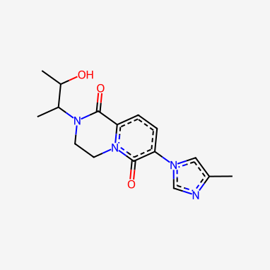 Cc1cn(-c2ccc3n(c2=O)CCN(C(C)C(C)O)C3=O)cn1